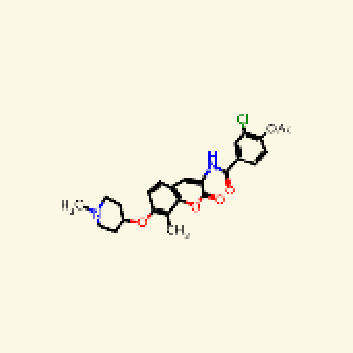 CC(=O)Oc1ccc(C(=O)Nc2cc3ccc(OC4CCN(C)CC4)c(C)c3oc2=O)cc1Cl